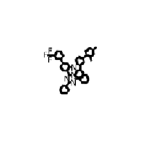 Cc1ccc(-c2ccc3c(c2)c2ccccc2n3-c2cc(-c3cccc(C(F)(F)F)c3)ccc2-c2nc(-c3ccccc3)nc(-c3ccccc3)n2)c(C)c1